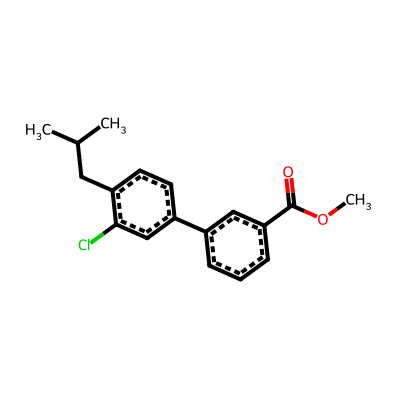 COC(=O)c1cccc(-c2ccc(CC(C)C)c(Cl)c2)c1